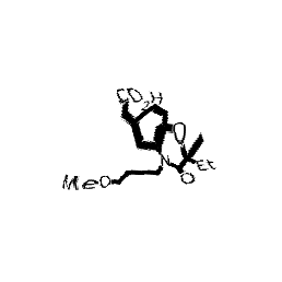 CCC1(C)Oc2ccc(CC(=O)O)cc2N(CCCOC)C1=O